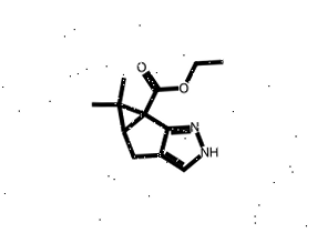 CCOC(=O)C12c3n[nH]cc3CC1C2(C)C